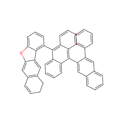 C1=Cc2cc3oc4cccc(-c5c6ccccc6c(-c6cc7ccccc7cc6-c6ccccc6)c6ccccc56)c4c3cc2CC1